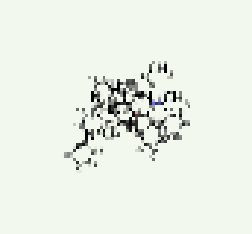 CC=CN(/C(=C(\C)c1ccccc1)c1c(C(=O)Nc2c(C)ccnc2N2CCN(C3CCCCC3)CC2)[nH]c2cc(Cl)ccc12)C(C)c1ccc(Cl)cc1